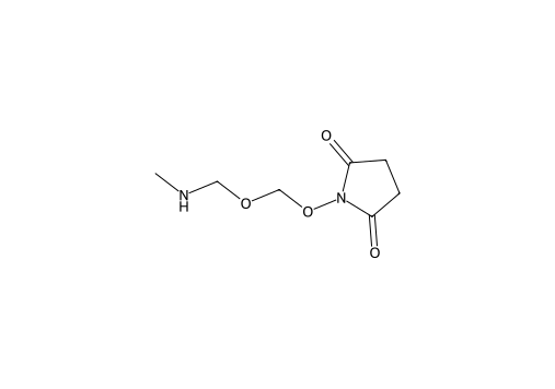 CNCOCON1C(=O)CCC1=O